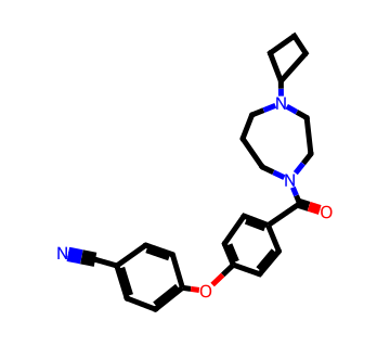 N#Cc1ccc(Oc2ccc(C(=O)N3CCCN(C4CCC4)CC3)cc2)cc1